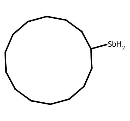 [SbH2][CH]1CCCCCCCCCCCCC1